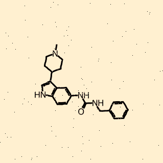 CN1CCC(c2c[nH]c3ccc(NC(=O)NCc4ccccc4)cc23)CC1